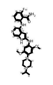 COc1cc(N2CCN(C(C)C)CC2)c(OC)cc1Nc1cc2c(Nc3cccc(F)c3C(N)=O)cncc2[nH]1